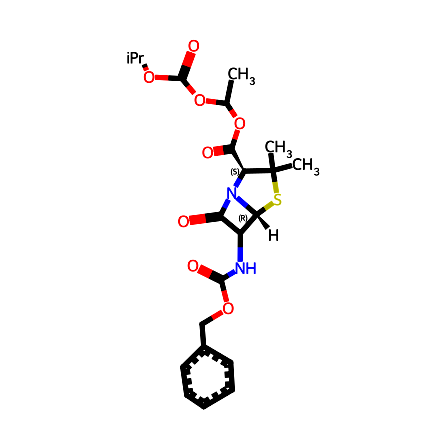 CC(C)OC(=O)OC(C)OC(=O)[C@@H]1N2C(=O)C(NC(=O)OCc3ccccc3)[C@H]2SC1(C)C